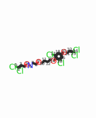 ClC(Cl)=CCON=CCOCCCCOc1c(Cl)cc(OCC=C(Cl)Cl)cc1Cl